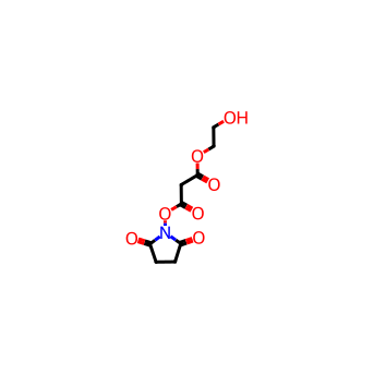 O=C(CC(=O)ON1C(=O)CCC1=O)OCCO